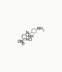 Cl.NC1CCC(c2nc3ccc([N+](=O)[O-])cc3[nH]2)CC1